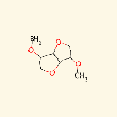 BOC1COC2C(OC)COC12